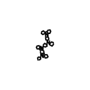 c1ccc(N(c2ccc(-n3c4ccccc4c4ccccc43)cc2)c2ccc(-n3c4ccccc4c4cc5c(cc43)c3ccccc3n5-c3ccccc3)cc2)cc1